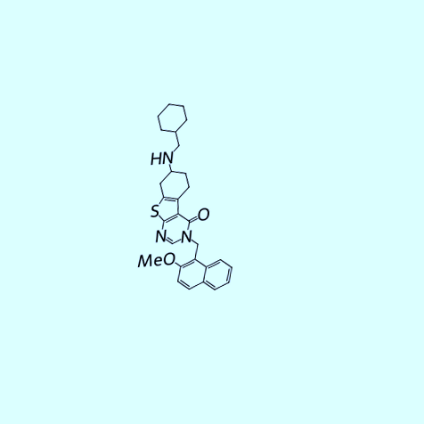 COc1ccc2ccccc2c1Cn1cnc2sc3c(c2c1=O)CCC(NCC1CCCCC1)C3